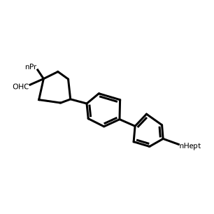 CCCCCCCc1ccc(-c2ccc(C3CCC(C=O)(CCC)CC3)cc2)cc1